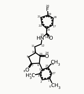 Cc1cc(C)c(C2C(=O)CC(CCNC(=O)c3ccc(F)cc3)C2=O)c(C)c1